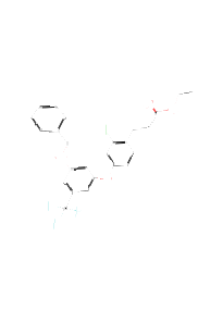 CCOC(=O)CCc1ccc(Oc2cc(OCc3ccccc3)cc(C(F)(F)F)c2)cc1Cl